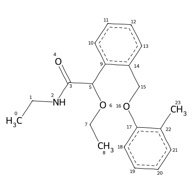 CCNC(=O)C(OCC)c1ccccc1COc1ccccc1C